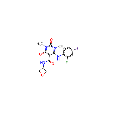 Cn1c(Nc2ccc(I)cc2F)c(C(=O)NC2COC2)c(=O)n(C)c1=O